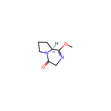 COC1=NCC(=O)N2CCC[C@@H]12